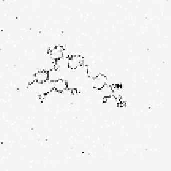 CC(C)(C)OC(=O)N[C@H]1CC[C@H](CCN2CCN(c3ncncc3Oc3ccc(F)cc3-c3ccc(C#N)cc3C3CC3)CC2)CC1